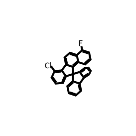 Fc1cccc2c3c(ccc12)-c1c(Cl)cccc1C31c2ccccc2-c2ccccc21